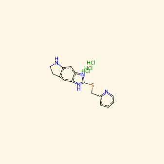 Cl.Cl.Cl.c1ccc(CSc2nc3cc4c(cc3[nH]2)CCN4)nc1